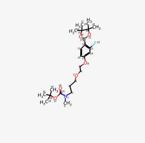 CN(CCCOCCOc1ccc(B2OC(C)(C)C(C)(C)O2)c(F)c1)C(=O)OC(C)(C)C